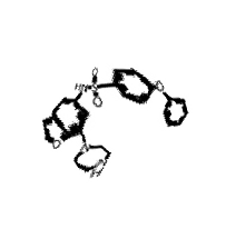 O=S(=O)(Nc1cc(N2CCNCC2)c2occc2c1)c1ccc(Oc2ccccc2)cc1